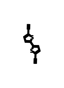 C#Cc1ccc(-c2ccc(C#C)s2)s1